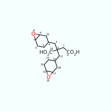 O=C(O)CC(CC1CCC2OC2C1)(CC1CCC2OC2C1)C(=O)O